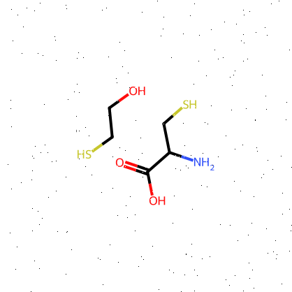 NC(CS)C(=O)O.OCCS